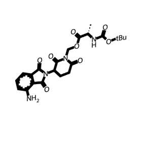 C[C@H](NC(=O)OC(C)(C)C)C(=O)OCN1C(=O)CCC(N2C(=O)c3cccc(N)c3C2=O)C1=O